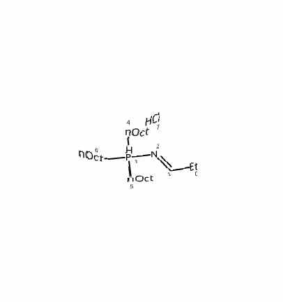 CCC=N[PH](CCCCCCCC)(CCCCCCCC)CCCCCCCC.Cl